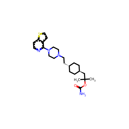 CC(C)(C[C@H]1CC[C@H](CCN2CCN(c3nccc4sccc34)CC2)CC1)OC(N)=O